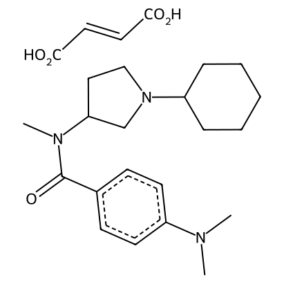 CN(C)c1ccc(C(=O)N(C)C2CCN(C3CCCCC3)C2)cc1.O=C(O)C=CC(=O)O